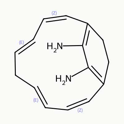 NC1=C2/C=C\C=C\C/C=C/C=C\C(=C1N)CC2